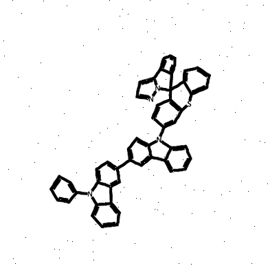 c1ccc(-n2c3ccccc3c3cc(-c4ccc5c(c4)c4ccccc4n5-c4ccc5c(c4)Sc4ccccc4C54c5ccccc5-c5ccnn54)ccc32)cc1